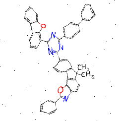 CC1(C)c2cc(-c3nc(-c4ccc(-c5ccccc5)cc4)nc(-c4cccc5c4oc4ccccc45)n3)ccc2-c2c1ccc1nc(-c3ccccc3)oc21